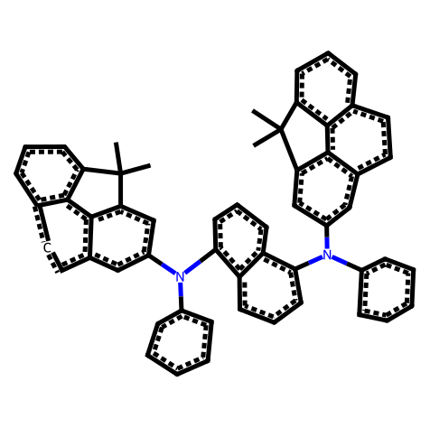 CC1(C)c2cccc3ccc4cc(N(c5ccccc5)c5cccc6c(N(c7ccccc7)c7cc8c9c(ccc%10cccc(c%109)C8(C)C)c7)cccc56)cc1c4c23